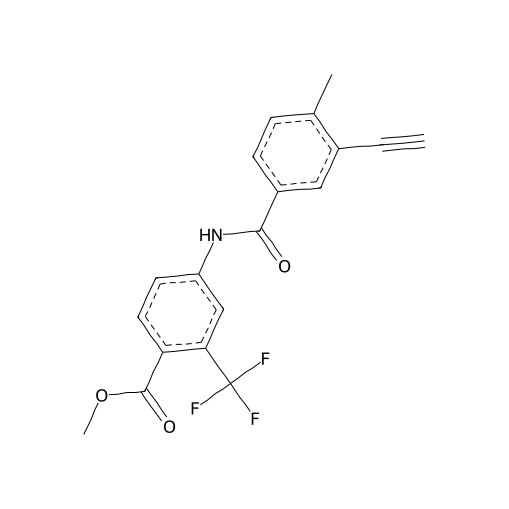 C#Cc1cc(C(=O)Nc2ccc(C(=O)OC)c(C(F)(F)F)c2)ccc1C